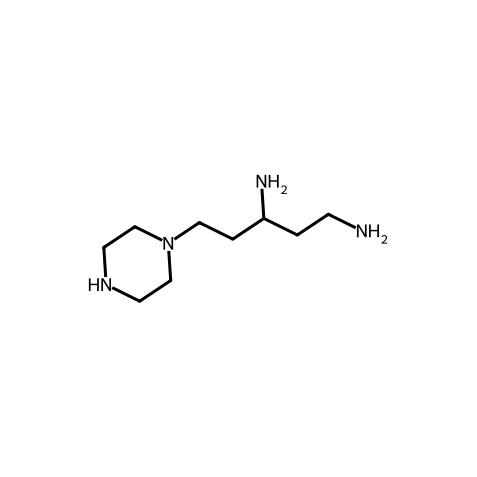 NCCC(N)CCN1CCNCC1